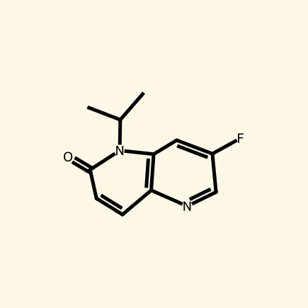 CC(C)n1c(=O)ccc2ncc(F)cc21